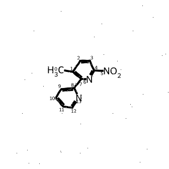 Cc1ccc([N+](=O)[O-])nc1-c1ccccn1